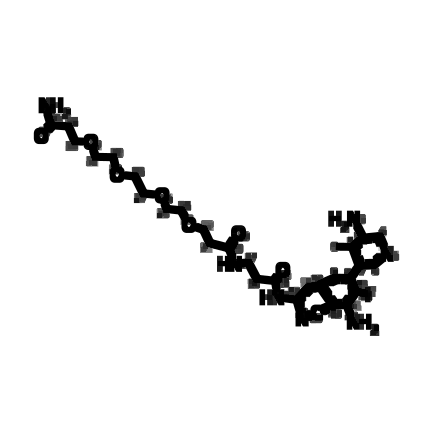 Cc1c(N)cncc1-c1cc2cc(NC(=O)CCNC(=O)CCOCCOCCOCCOCCC(N)=O)ncc2c(N)c1F